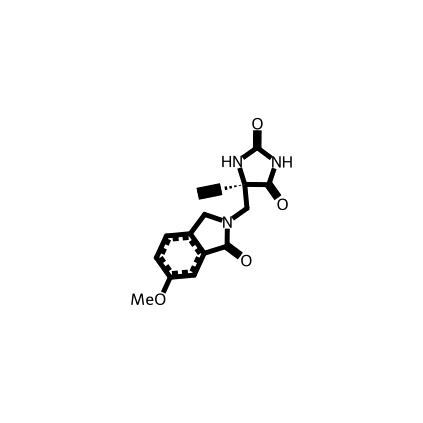 C#C[C@]1(CN2Cc3ccc(OC)cc3C2=O)NC(=O)NC1=O